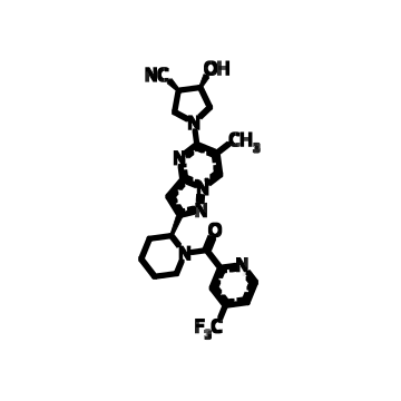 Cc1cn2nc([C@@H]3CCCCN3C(=O)c3cc(C(F)(F)F)ccn3)cc2nc1N1C[C@@H](C#N)[C@@H](O)C1